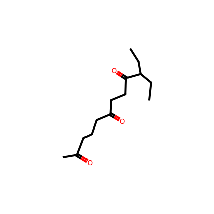 CCC(CC)C(=O)CCC(=O)CCCC(C)=O